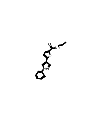 CCCNC(=O)c1ccc(-c2cnn(-c3ccccc3)c2)o1